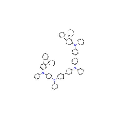 c1ccc(N(c2ccc(-c3ccc(N(c4ccccc4)c4ccc(N(c5ccccc5)c5ccc6c(c5)C5(CCCCC5)c5ccccc5-6)cc4)cc3)cc2)c2ccc(-c3ccc(N(c4ccccc4)c4ccc5c(c4)C4(CCCCC4)c4ccccc4-5)cc3)cc2)cc1